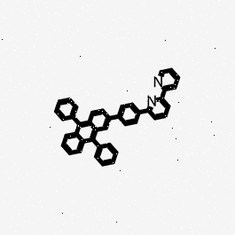 c1ccc(-c2c3ccccc3c(-c3ccccc3)c3cc(-c4ccc(-c5cccc(-c6ccccn6)n5)cc4)ccc23)cc1